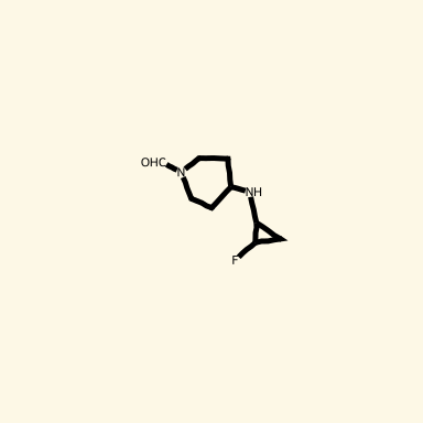 O=CN1CCC(NC2CC2F)CC1